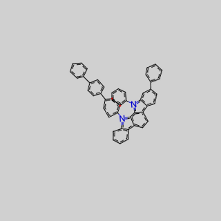 c1ccc(-c2ccc(-c3ccc(-n4c5ccccc5c5ccc6c7ccc(-c8ccccc8)cc7n(-c7ccccc7)c6c54)cc3)cc2)cc1